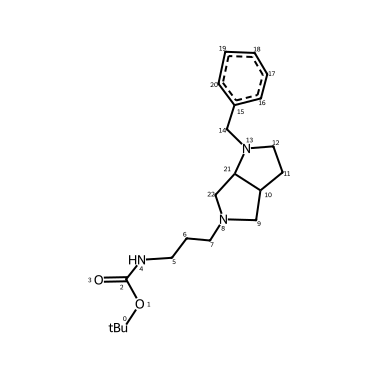 CC(C)(C)OC(=O)NCCCN1CC2CCN(Cc3ccccc3)C2C1